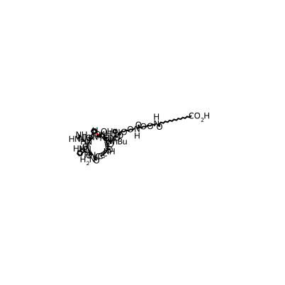 CCCC[C@H](NC(=O)[C@@H]1CCCN1C(=O)COCCOCCNC(=O)COCCOCCNC(=O)CCCCCCCCCCCCCCC(=O)O)C(=O)N[C@H]1CCC(=O)NCCCC[C@@H](C(N)=O)NC(=O)[C@H](Cc2c[nH]c3ccccc23)NC(=O)[C@H](CCCNC(=N)N)NC(=O)[C@@H](Cc2ccccc2)NC(=O)[C@@H]2C[C@@H](O)CN2C1=O